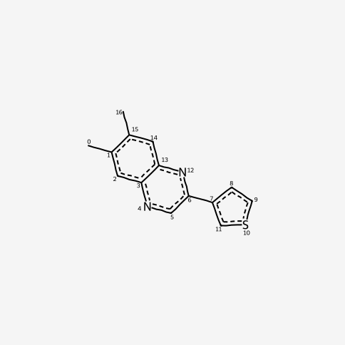 Cc1cc2ncc(-c3ccsc3)nc2cc1C